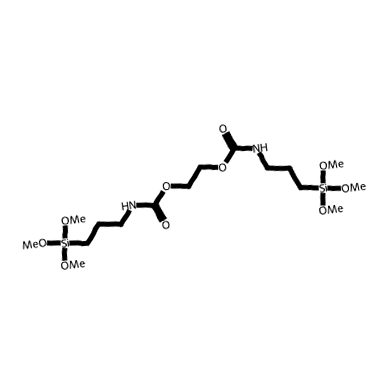 CO[Si](CCCNC(=O)OCCOC(=O)NCCC[Si](OC)(OC)OC)(OC)OC